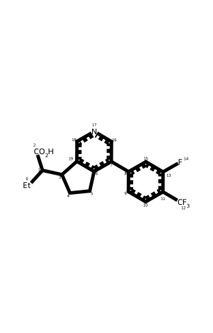 CCC(C(=O)O)C1CCc2c(-c3ccc(C(F)(F)F)c(F)c3)cncc21